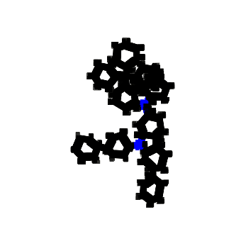 c1ccc(-c2ccc(-n3c4cc(-c5ccccc5)ccc4c4ccc(-n5c6ccccc6c6c([Si](c7ccccc7)(c7ccccc7)c7ccccc7)cccc65)cc43)cc2)cc1